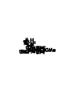 COc1ccc(S(=O)(=O)N(CC(C)C)C[C@@H](NC(=O)OC(C)(C)C)[C@@H](N)Cc2cccs2)cc1